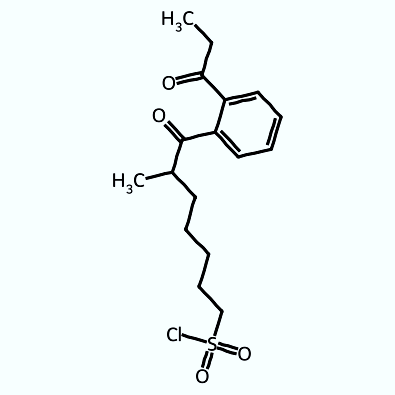 CCC(=O)c1ccccc1C(=O)C(C)CCCCCS(=O)(=O)Cl